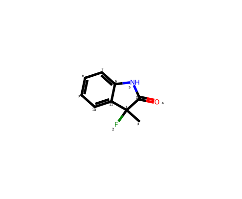 CC1(F)C(=O)Nc2ccccc21